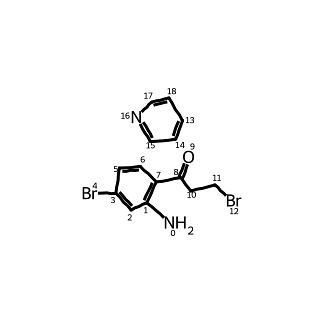 Nc1cc(Br)ccc1C(=O)CCBr.c1ccncc1